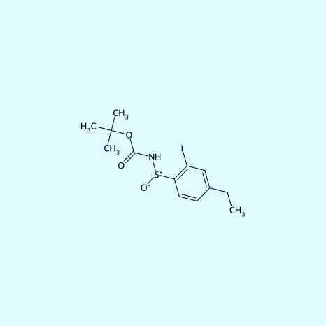 CCc1ccc([S+]([O-])NC(=O)OC(C)(C)C)c(I)c1